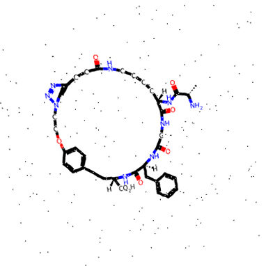 C[C@H](N)C(=O)N[C@H]1CCCCNC(=O)CCc2cn(nn2)CCOc2ccc(cc2)C[C@@H](C(=O)O)NC(=O)[C@H](Cc2ccccc2)NC(=O)CNC1=O